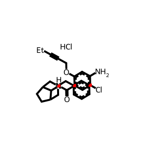 CCC#CCOc1cc(N)c(Cl)cc1C(=O)NC1C2CCC1CN(Cc1ccccc1)C2.Cl